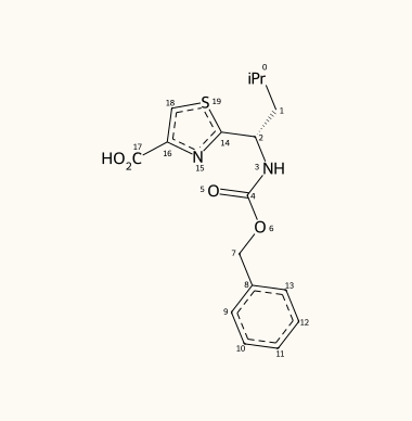 CC(C)C[C@H](NC(=O)OCc1ccccc1)c1nc(C(=O)O)cs1